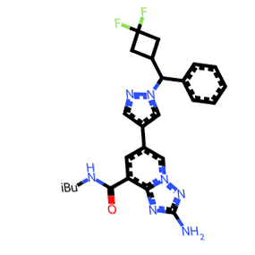 CCC(C)NC(=O)c1cc(-c2cnn(C(c3ccccc3)C3CC(F)(F)C3)c2)cn2nc(N)nc12